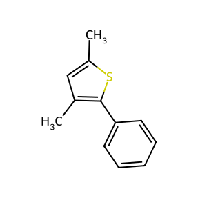 Cc1cc(C)c(-c2ccccc2)s1